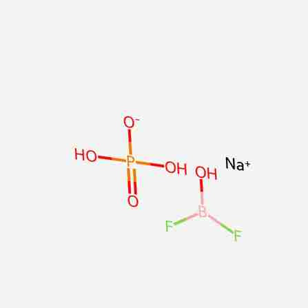 O=P([O-])(O)O.OB(F)F.[Na+]